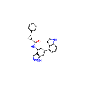 O=C(Nc1cc(-c2cccc3[nH]ccc23)cc2[nH]ncc12)[C@H]1C[C@H]1c1ccccc1